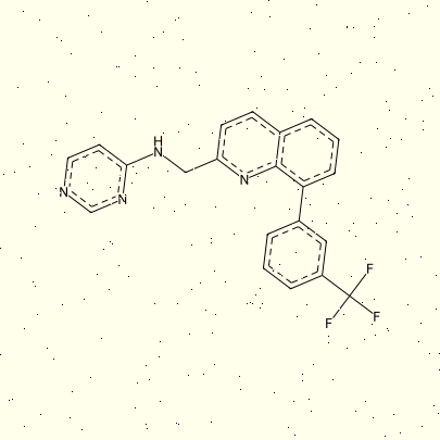 FC(F)(F)c1cccc(-c2cccc3ccc(CNc4ccncn4)nc23)c1